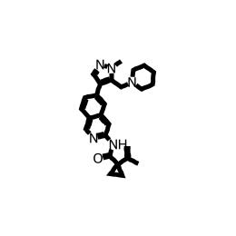 C=C(C)C1(C(=O)Nc2cc3cc(-c4cnn(C)c4CN4CCCCC4)ccc3cn2)CC1